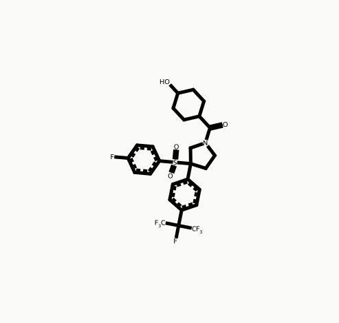 O=C(C1CCC(O)CC1)N1CCC(c2ccc(C(F)(C(F)(F)F)C(F)(F)F)cc2)(S(=O)(=O)c2ccc(F)cc2)C1